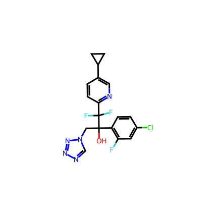 OC(Cn1cnnn1)(c1ccc(Cl)cc1F)C(F)(F)c1ccc(C2CC2)cn1